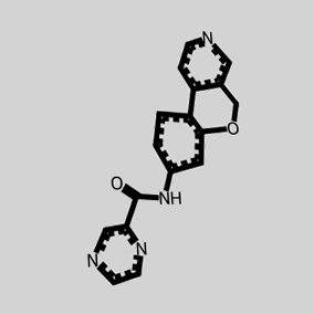 O=C(Nc1ccc2c(c1)OCc1cnccc1-2)c1cnccn1